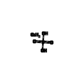 O=S(=O)(O)O.[GaH3]